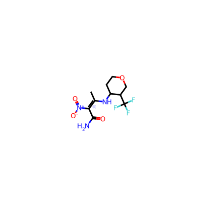 C/C(NC1CCOCC1C(F)(F)F)=C(/C(N)=O)[N+](=O)[O-]